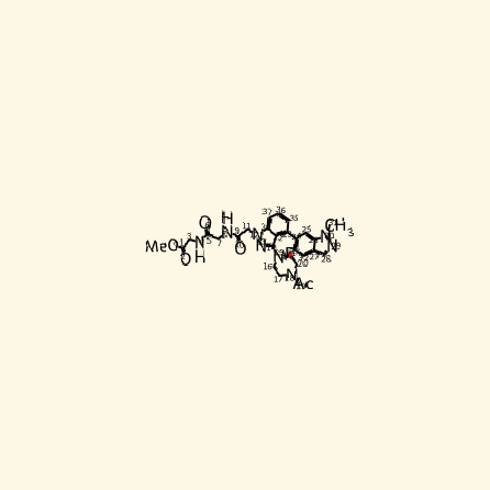 COC(=O)CNC(=O)CNC(=O)Cn1nc(N2CCN(C(C)=O)CC2)c2c(-c3cc4c(cnn4C)cc3F)cccc21